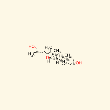 CC1=C(CC[C@@H](C)CO)O[C@H]2C[C@H]3[C@@H]4CC=C5C[C@@H](O)CC[C@]5(C)[C@H]4CC[C@]3(C)[C@@H]12